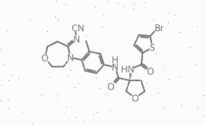 Cc1cc(NC(=O)[C@]2(NC(=O)c3ccc(Br)s3)CCOC2)ccc1N1CCOCC/C1=N\C#N